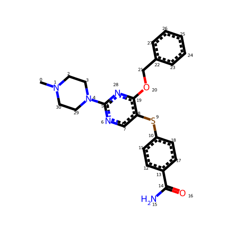 CN1CCN(c2ncc(Sc3ccc(C(N)=O)cc3)c(OCc3ccccc3)n2)CC1